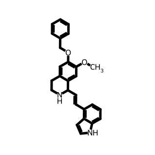 COc1cc2c(cc1OCc1ccccc1)CCNC2C=Cc1cccc2[nH]ccc12